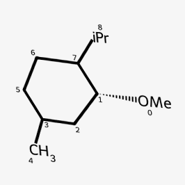 CO[C@@H]1CC(C)CCC1C(C)C